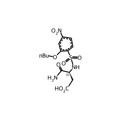 CCCCOc1cc([N+](=O)[O-])ccc1S(=O)(=O)N[C@@H](CC(=O)O)C(N)=O